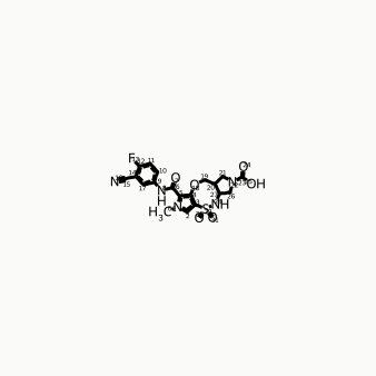 Cn1cc2c(c1C(=O)Nc1ccc(F)c(C#N)c1)OCC1CN(C(=O)O)CC1NS2(=O)=O